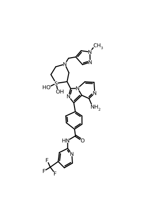 Cn1cc(CN2CCS(O)(O)C(c3nc(-c4ccc(C(=O)Nc5cc(C(F)(F)F)ccn5)cc4)c4c(N)nccn34)C2)cn1